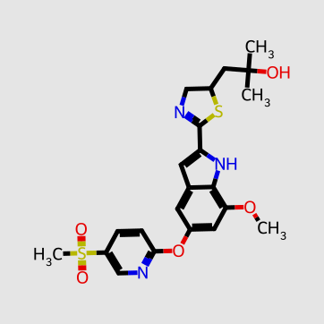 COc1cc(Oc2ccc(S(C)(=O)=O)cn2)cc2cc(C3=NCC(CC(C)(C)O)S3)[nH]c12